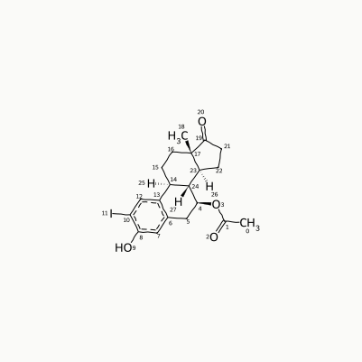 CC(=O)O[C@H]1Cc2cc(O)c(I)cc2[C@H]2CC[C@]3(C)C(=O)CC[C@H]3[C@H]12